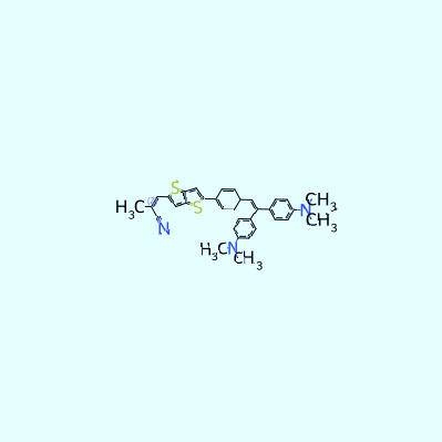 C/C(C#N)=C/c1cc2sc(C3=CCC(C=C(c4ccc(N(C)C)cc4)c4ccc(N(C)C)cc4)C=C3)cc2s1